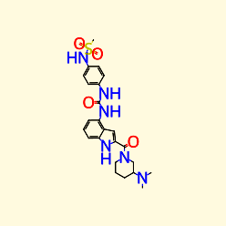 CN(C)C1CCCN(C(=O)c2cc3c(NC(=O)Nc4ccc(NS(C)(=O)=O)cc4)cccc3[nH]2)C1